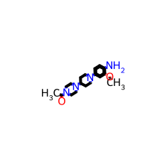 COc1cc(N2CCC(N3CCN(C(C)=O)CC3)CC2)ccc1N